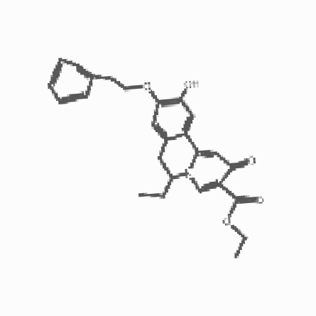 CCOC(=O)c1cn2c(cc1=O)-c1cc(O)c(OCCc3ccccc3)cc1CC2CC